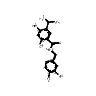 CC(C)c1cc(C(=S)NCc2ccc(O)c(O)c2)c(O)cc1O